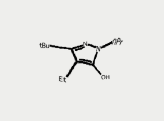 CCCn1nc(C(C)(C)C)c(CC)c1O